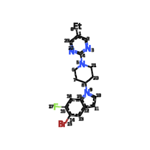 CCc1cnc(N2CCC(n3ccc4cc(Br)c(F)cc43)CC2)nc1